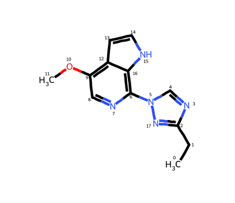 CCc1ncn(-c2ncc(OC)c3cc[nH]c23)n1